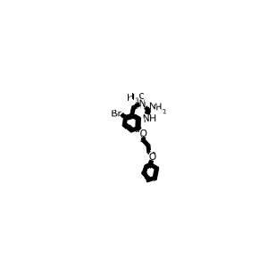 CN(Cc1cc(OCCCOc2ccccc2)ccc1Br)C(=N)N